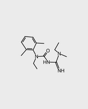 CCN(C)C(=N)NC(=O)N(CC)c1c(C)cccc1C